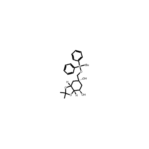 CC1(C)O[C@H]2[C@H](O)C[C@](O)(CO[Si](c3ccccc3)(c3ccccc3)C(C)(C)C)C[C@H]2O1